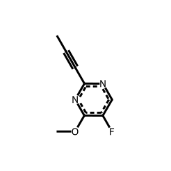 CC#Cc1ncc(F)c(OC)n1